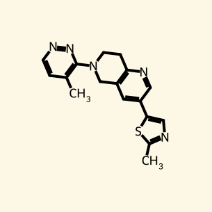 Cc1ncc(-c2cnc3c(c2)CN(c2nnccc2C)CC3)s1